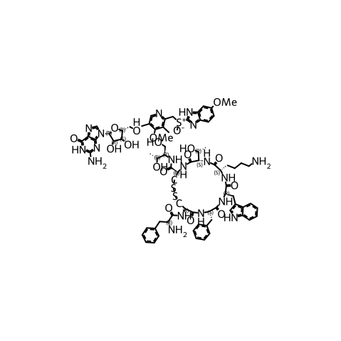 COc1ccc2nc([S+]([O-])Cc3ncc(C)c(OC)c3C)[nH]c2c1.C[C@@H](O)[C@@H]1NC(=O)[C@H](CCCCN)NC(=O)[C@@H](Cc2c[nH]c3ccccc23)NC(=O)[C@H](Cc2ccccc2)NC(=O)[C@@H](NC(=O)[C@H](N)Cc2ccccc2)CSSC[C@@H](C(=O)N[C@H](CO)[C@@H](C)O)NC1=O.Nc1nc2c(ncn2[C@@H]2O[C@H](CO)[C@@H](O)[C@H]2O)c(=O)[nH]1